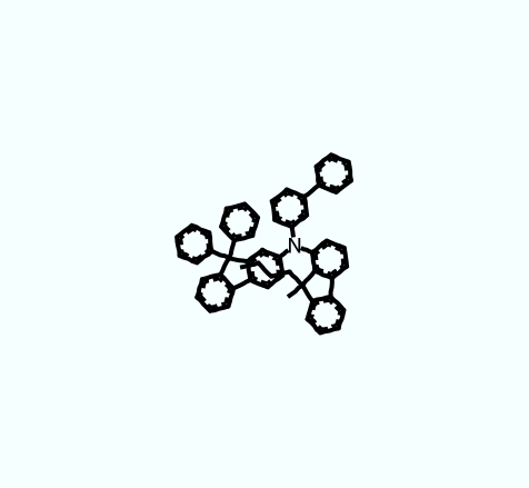 CCCCC1(C)c2ccccc2-c2cccc(N(c3cccc(-c4ccccc4)c3)c3ccc4c(c3)C(c3ccccc3)(c3ccccc3)c3ccccc3-4)c21